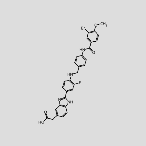 COc1ccc(C(=O)Nc2ccc(CNc3ccc(-c4nc5cc(CC(=O)O)ccc5[nH]4)cc3F)cc2)cc1Br